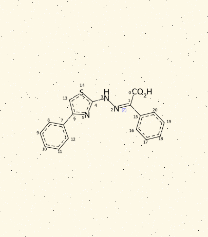 O=C(O)/C(=N\Nc1nc(-c2ccccc2)cs1)c1ccccc1